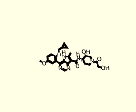 COc1ccc(OCC2CC2)c(-c2ncnc3c(C(=O)N[C@@H]4CCN(C(=O)CO)C[C@H]4O)c(C)[nH]c23)c1